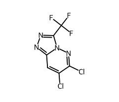 FC(F)(F)c1nnc2cc(Cl)c(Cl)nn12